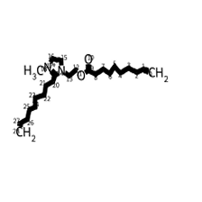 C=CCCCCCCCC(=O)OCCN1CC[N+](C)=C1CCCCCCCC=C